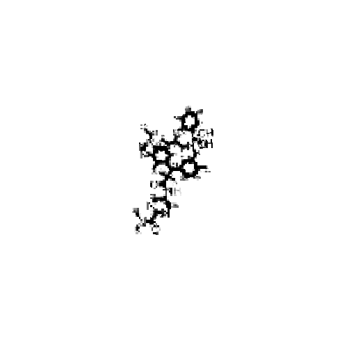 CCC1CN(Cc2cc(C(c3ccc4c(nnn4CC)c3C)C(C)(C)C(=O)Nc3cnc(C(=O)N(C)C)nc3)ccc2C)S(O)(O)c2ccccc2O1